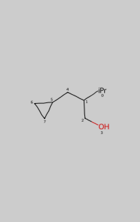 CC(C)C(CO)CC1CC1